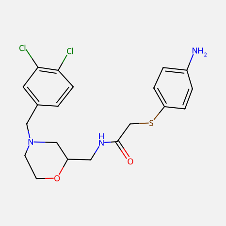 Nc1ccc(SCC(=O)NCC2CN(Cc3ccc(Cl)c(Cl)c3)CCO2)cc1